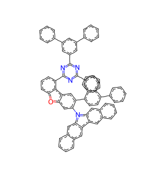 c1ccc(-c2cc(-c3ccccc3)cc(-c3nc(-c4ccccc4)nc(-c4cccc5oc6cc(-n7c8cc9ccccc9cc8c8cc9ccccc9cc87)c(-c7ccc(-c8ccccc8)c8ccccc78)cc6c45)n3)c2)cc1